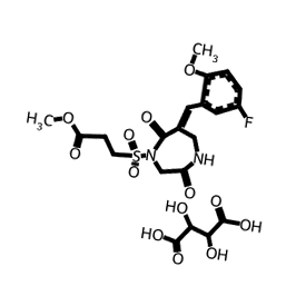 COC(=O)CCS(=O)(=O)N1CC(=O)NC/C(=C\c2cc(F)ccc2OC)C1=O.O=C(O)C(O)C(O)C(=O)O